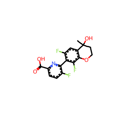 CC1(O)CCOc2c1cc(F)c(-c1nc(C(=O)O)ccc1F)c2F